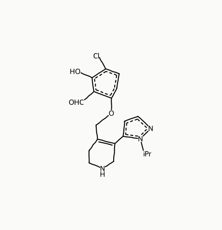 CC(C)n1nccc1C1=C(COc2ccc(Cl)c(O)c2C=O)CCNC1